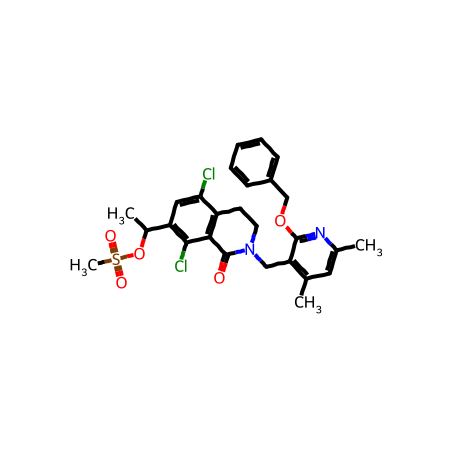 Cc1cc(C)c(CN2CCc3c(Cl)cc(C(C)OS(C)(=O)=O)c(Cl)c3C2=O)c(OCc2ccccc2)n1